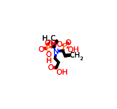 C=CC(N(CCC(=O)O)C(C=C)P(=O)(O)O)P(=O)(O)O